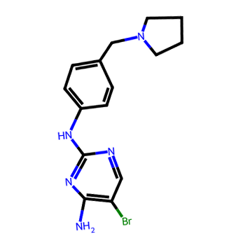 Nc1nc(Nc2ccc(CN3CCCC3)cc2)ncc1Br